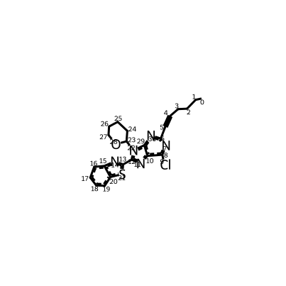 CCCCC#Cc1nc(Cl)c2nc(-c3nc4ccccc4s3)n(C3CCCCO3)c2n1